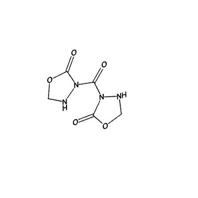 O=C1OCNN1C(=O)N1NCOC1=O